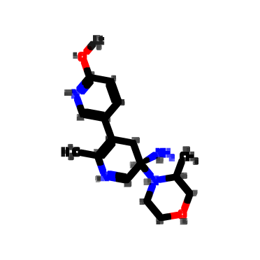 CCOc1ccc(C2=C(C)N=C[C@@](N)(N3CCOCC3C)C2)cn1